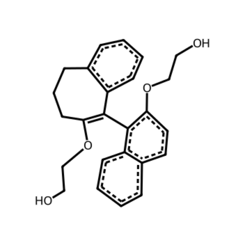 OCCOC1=C(c2c(OCCO)ccc3ccccc23)c2ccccc2CCC1